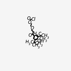 CC(C)(C)c1cc(C(=O)CCOCCOC(=O)Cl)cc(C(C)(C)C)c1O